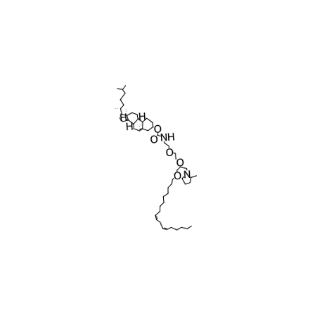 CCCCC/C=C\C/C=C\CCCCCCCCOCC(CN1CCCC1C)OCCOCCNC(=O)O[C@H]1CC[C@@]2(C)C(=CC[C@H]3[C@@H]4CC[C@H]([C@H](C)CCCC(C)C)[C@@]4(C)CC[C@@H]32)C1